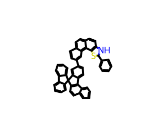 c1ccc(C2Nc3ccc4ccc5ccc(-c6ccc7c(c6)C6(c8ccccc8-c8ccccc86)c6ccc8ccccc8c6-7)cc5c4c3S2)cc1